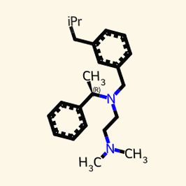 CC(C)Cc1cccc(CN(CCN(C)C)[C@H](C)c2ccccc2)c1